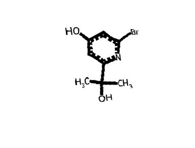 CC(C)(O)c1cc(O)cc(Br)n1